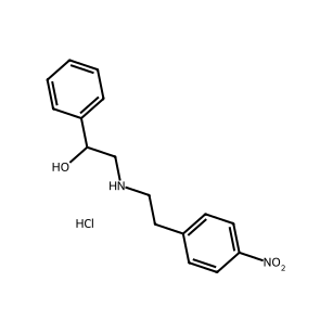 Cl.O=[N+]([O-])c1ccc(CCNCC(O)c2ccccc2)cc1